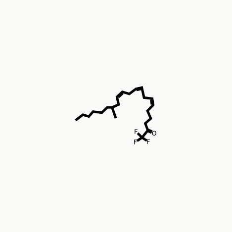 CCCCCCC(C)C/C=C\C/C=C\C/C=C\CCCC(=O)C(F)(F)F